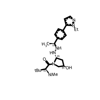 CCn1nccc1-c1ccc([C@H](C)NN[C@@H]2C[C@@H](O)CN2C(=O)[C@@H](NC)C(C)(C)C)cc1